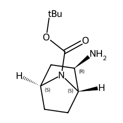 CC(C)(C)OC(=O)N1[C@H]2CC[C@H]1[C@H](N)C2